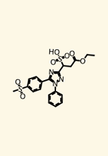 CCOC(=O)CC(c1nc(-c2ccc(S(C)(=O)=O)cc2)n(-c2ccccc2)n1)S(=O)(=O)O